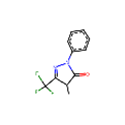 CC1C(=O)N(c2ccccc2)N=C1C(F)(F)F